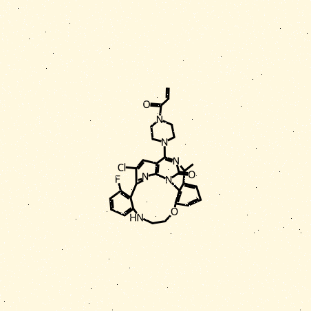 C=CC(=O)N1CCN(c2nc(=O)n3c4nc(c(Cl)cc24)-c2c(F)cccc2NCCOc2cccc(C(C)C)c2-3)CC1